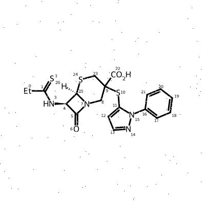 CCC(=S)N[C@@H]1C(=O)N2CC(Sc3ccnn3-c3ccccc3)(C(=O)O)CS[C@H]12